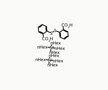 CCCCCC[N+](CCCCCC)(CCCCCC)CCCCCC.CCCCCC[N+](CCCCCC)(CCCCCC)CCCCCC.O=C(O)c1ccccc1SSc1ccccc1C(=O)O